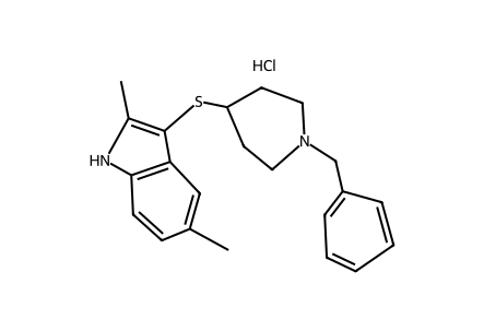 Cc1ccc2[nH]c(C)c(SC3CCN(Cc4ccccc4)CC3)c2c1.Cl